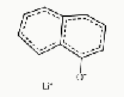 [Li+].[O-]c1cccc2ccccc12